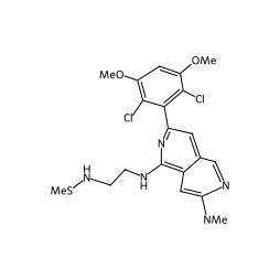 CNc1cc2c(NCCNSC)nc(-c3c(Cl)c(OC)cc(OC)c3Cl)cc2cn1